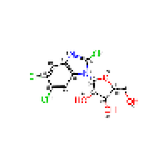 OC[C@H]1O[C@@H](n2c(Cl)nc3cc(Cl)c(Cl)cc32)C(O)C1O